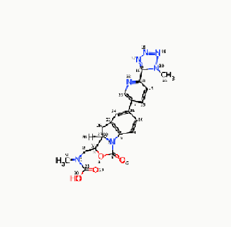 CN(C[C@@H]1OC(=O)N2c3ccc(-c4ccc(-c5nnnn5C)nc4)cc3C[C@@H]12)C(=O)O